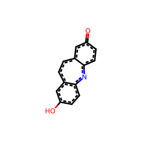 O=c1ccc2nc3ccc(O)cc3ccc-2c1